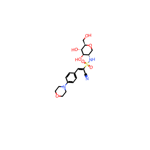 N#C/C(=C\c1ccc(N2CCOCC2)cc1)S(=O)(=O)N[C@H]1CO[C@H](CO)[C@@H](O)[C@@H]1O